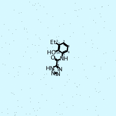 CCc1cccc(NC(=O)c2nnn[nH]2)c1O